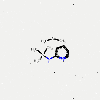 C[Si](C)(C)Nc1ccccn1.[CH3][Al][CH3]